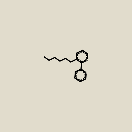 CCCCCCc1cccnc1-c1ccccn1